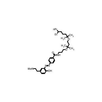 CCCC(CC)CCCC(C)(C)OCCC(C)(C)OCCCNC(=O)c1ccc(/N=N/c2cc(CCNC)ccc2O)cc1